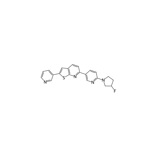 FC1CCN(c2ccc(-c3ccc4cc(-c5cccnc5)sc4n3)cn2)C1